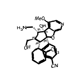 COc1cncc2c1[C@]1(O)[C@@H](CN)[C@H](CO)[C@@H](C3C=CC=CC3C)[C@]1(c1ccc(C#N)cc1)O2